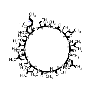 C=C(C)[C@@H]1NC(=O)[C@H](CCC)N(C)C(=O)CN(C)C(=O)[C@H](CC)NC(=O)[C@H]([C@H](O)[C@H](C)C/C=C/C)N(C)C(=O)[C@H](C(C)C)N(C)C(=O)[C@@H](CC(C)C)N(C)C(=O)[C@H](CC(C)C)N(C)C(=O)[C@@H](C)NC(=O)[C@H](C)NC(=O)[C@H](CC(C)C)N(C)C1=O